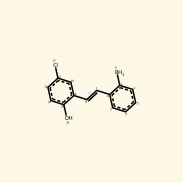 Bc1ccccc1/C=C/c1cc(Cl)ccc1O